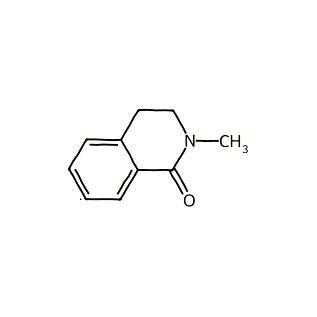 CN1CCc2cc[c]cc2C1=O